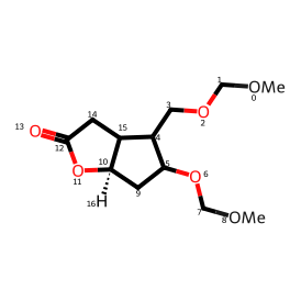 COCOCC1C(OCOC)C[C@H]2OC(=O)CC12